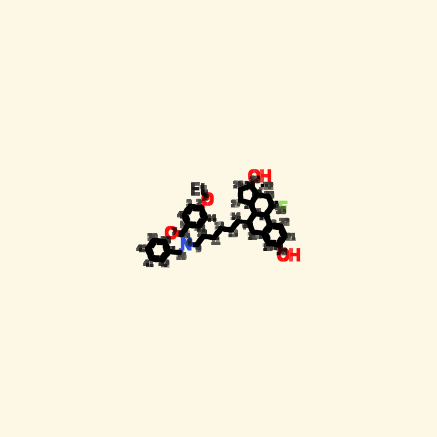 CCOc1ccc(C(=O)N(CCCCCC[C@@H]2Cc3cc(O)ccc3C3C2C2CC[C@H](O)[C@@]2(C)C[C@@H]3F)Cc2ccccc2)cc1